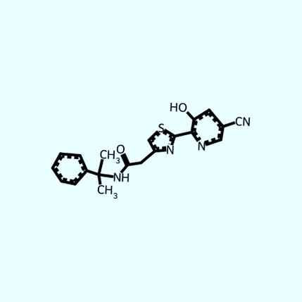 CC(C)(NC(=O)Cc1csc(-c2ncc(C#N)cc2O)n1)c1ccccc1